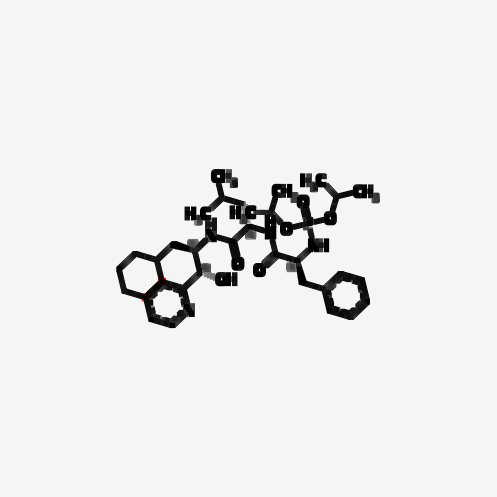 CC(C)C[C@H](NC(=O)[C@H](Cc1ccccc1)NP(=O)(OC(C)C)OC(C)C)C(=O)N[C@H](CC1CCCCC1)[C@H](O)c1ccccn1